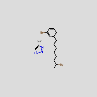 CC(Br)CCCCCCC1C=C(Br)C=CC1.CCCc1c[nH]nn1